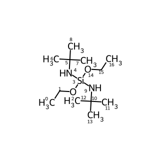 CCO[Si](NC(C)(C)C)(NC(C)(C)C)OCC